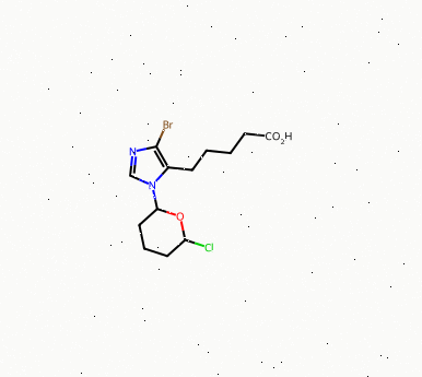 O=C(O)CCCCc1c(Br)ncn1C1CCCC(Cl)O1